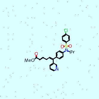 COC(=O)CCCC=C(c1ccc(N(C(C)C)S(=O)(=O)c2ccc(Cl)cc2)cc1)c1cccnc1